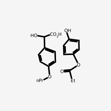 CCC(=O)Oc1ccc(O)cc1.CCCOc1ccc(C(O)C(=O)O)cc1